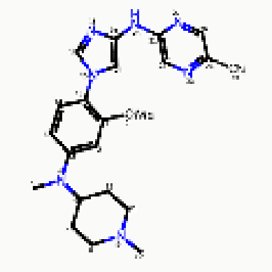 COc1cc(N(C)C2CCN(C)CC2)ccc1-n1cnc(Nc2cnc(C#N)cn2)c1